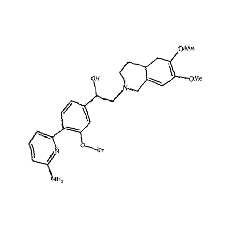 COC1=C(OC)CC2CCN(CC(O)c3ccc(-c4cccc(N)n4)c(OC(C)C)c3)CC2=C1